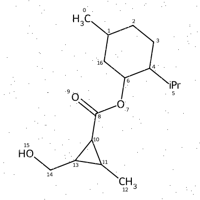 CC1CCC(C(C)C)C(OC(=O)C2C(C)C2CO)C1